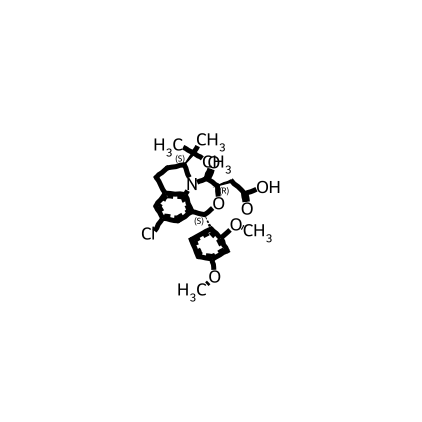 COc1ccc([C@H]2O[C@H](CC(=O)O)C(=O)N3c4c(cc(Cl)cc42)CC[C@H]3C(C)(C)C)c(OC)c1